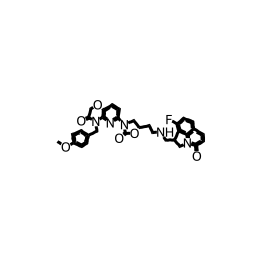 COc1ccc(CN2C(=O)COc3ccc(N4CC(CCNCC5Cn6c(=O)ccc7ccc(F)c5c76)OC4=O)nc32)cc1